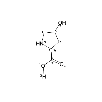 [2H]OC(=O)[C@@H]1CC(O)CN1